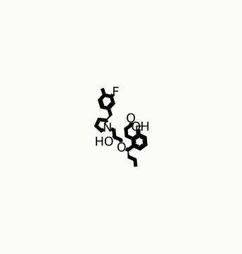 CCC[C@@H](OCC(O)CN1CCC[C@H]1CC1=CC(F)C(C)C=C1)c1cccc(F)c1CCC(=O)O